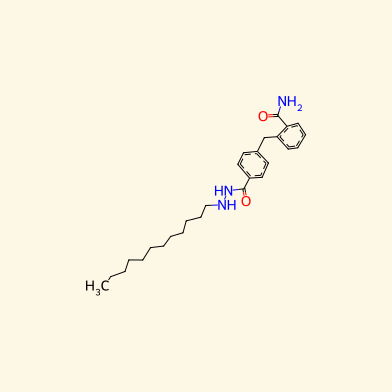 CCCCCCCCCCCCNNC(=O)c1ccc(Cc2ccccc2C(N)=O)cc1